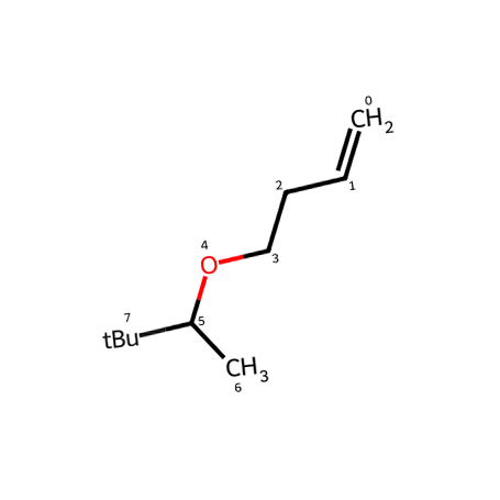 C=CCCOC(C)C(C)(C)C